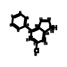 Clc1nc(-c2ccccc2)c2cc[nH]c2n1